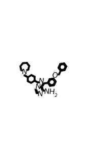 Nc1nccn2c(C3CCC(CN4CCCCCC4)CC3)nc(-c3cccc(OCc4ccccc4)c3)c12